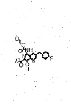 COCCOC(=O)Nc1nc(C(=O)OC)c(O)c2ncc(Cc3ccc(F)cc3)cc12